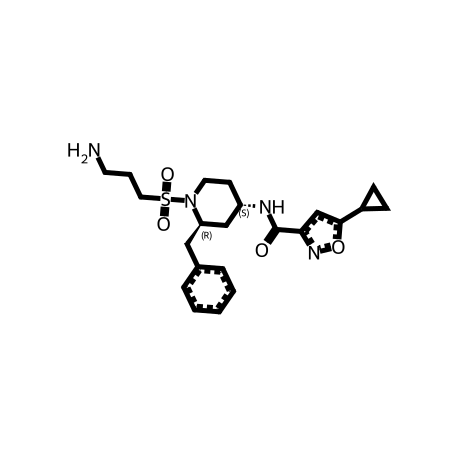 NCCCS(=O)(=O)N1CC[C@H](NC(=O)c2cc(C3CC3)on2)C[C@H]1Cc1ccccc1